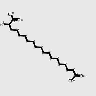 CC(C)C(CCCCCCCCCCCCCCCCC(=O)Cl)C(=O)Cl